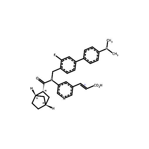 CN(C)c1ccc(-c2ccc(CN(C(=O)[C@@H]3C[C@@H]4CC[C@H]3C4)c3cncc(/C=C/C(=O)O)c3)c(F)c2)cc1